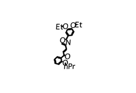 CCCOc1ccccc1C(=O)C=Cc1coc(-c2ccc(OCC)c(OCC)c2)n1